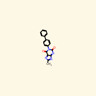 CC1=NC2=NC(=O)N(c3ccc(-c4ccccc4)cc3)C(=O)C2=N1